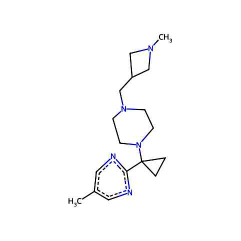 Cc1cnc(C2(N3CCN(CC4CN(C)C4)CC3)CC2)nc1